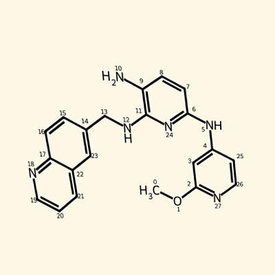 COc1cc(Nc2ccc(N)c(NCc3ccc4ncccc4c3)n2)ccn1